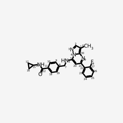 Cc1cnn2c(NCc3ccc(C(=O)NC4CC4)cc3)cc(-c3ccccc3F)nc12